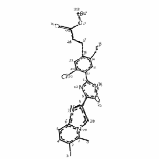 Cc1c(I)ccc2nc(-c3nc(-c4cc(F)c(CCC(=O)OC(C)(C)C)cc4Cl)no3)cn12